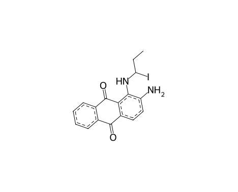 CCC(I)Nc1c(N)ccc2c1C(=O)c1ccccc1C2=O